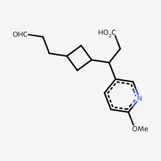 COc1ccc(C(CC(=O)O)C2CC(CCC=O)C2)cn1